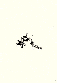 Cc1nn(-c2cc(OC3CN(C(=O)OC(C)(C)C)C3)c(F)cn2)c(C)c1I